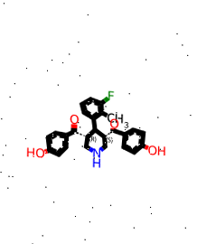 Cc1c(F)cccc1C1[C@@H](C(=O)c2ccc(O)cc2)[CH]NC[C@H]1C(=O)c1ccc(O)cc1